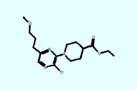 CCOC(=O)C1CCN(c2nc(CCCOC)cnc2Cl)CC1